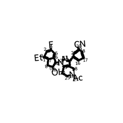 CCc1cc(F)cc2c1C[C@H](O)[C@@H]2n1nc(-c2cccc(C#N)c2)c2c1CCN(C(C)=O)C2